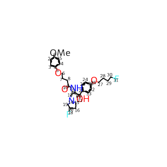 COc1ccc(OCCCC(=O)N[C@H](CN2CC[C@@H](F)C2)[C@H](O)c2ccc(OCCCCF)cc2)cc1